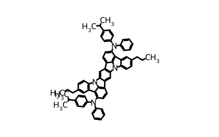 CCCc1ccc2c(c1)c1c(N(c3ccccc3)c3ccc(C(C)C)cc3)ccc3c4cc5c(cc4n2c31)c1ccc(N(c2ccccc2)c2ccc(C(C)C)cc2)c2c3cc(CCC)ccc3n5c12